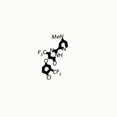 CNc1ccnc(-c2nc(C(F)(F)F)c(Oc3ccc(Cl)c(C(F)(F)F)c3)c(=O)[nH]2)c1